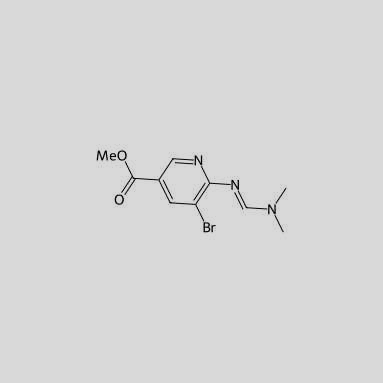 COC(=O)c1cnc(/N=C/N(C)C)c(Br)c1